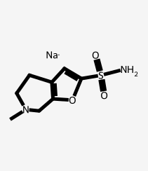 CN1CCc2cc(S(N)(=O)=O)oc2C1.[Na]